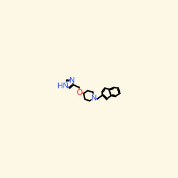 c1ccc2cc(CN3CCC(OCc4c[nH]cn4)CC3)ccc2c1